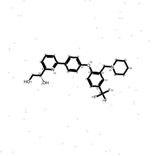 OC[C@@H](O)c1cccc(-c2ccc(Oc3ccc(C(F)(F)F)cc3CN3CCCCC3)cc2)n1